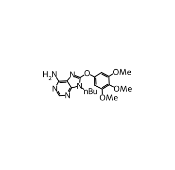 CCCCn1c(Oc2cc(OC)c(OC)c(OC)c2)nc2c(N)ncnc21